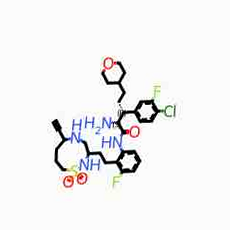 C#CC1CCCS(=O)(=O)NC(CCc2c(F)cccc2NC(=O)[C@@H](N)[C@H](CCC2CCOCC2)c2ccc(Cl)c(F)c2)CN1